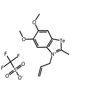 C=CC[n+]1c(C)[te]c2cc(OC)c(OC)cc21.O=S(=O)([O-])C(F)(F)F